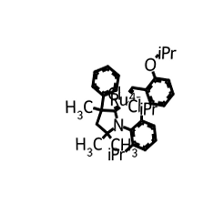 CC(C)Oc1ccccc1[CH]=[Ru-4]([Cl])([Cl])=[C]1N(c2c(C(C)C)cccc2C(C)C)C(C)(C)CC1(C)c1ccccc1